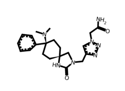 CN(C)[C@]1(c2ccccc2)CC[C@@]2(CC1)CN(Cc1cn(CC(N)=O)nn1)C(=O)N2